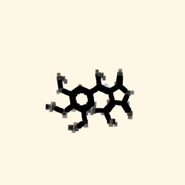 COc1cc(/C(C)=C2/C(=O)OC(=O)C2=C(C)C)cc(OC)c1OC